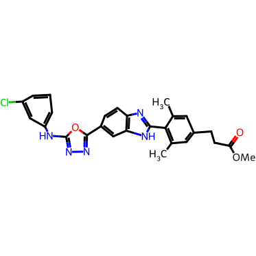 COC(=O)CCc1cc(C)c(-c2nc3ccc(-c4nnc(Nc5cccc(Cl)c5)o4)cc3[nH]2)c(C)c1